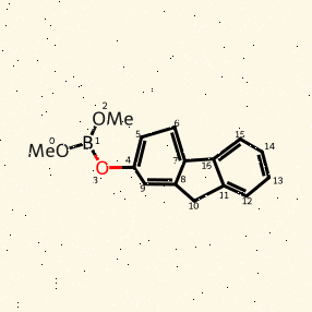 COB(OC)Oc1ccc2c(c1)Cc1ccccc1-2